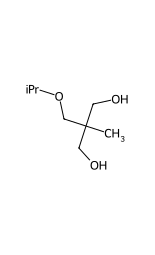 CC(C)OCC(C)(CO)CO